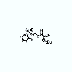 Cc1ccccc1S(=O)(=O)OCCNC(=O)OC(C)(C)C